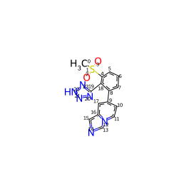 CS(=O)(=O)c1cccc(-c2ccn3cncc3c2)c1-c1nn[nH]n1